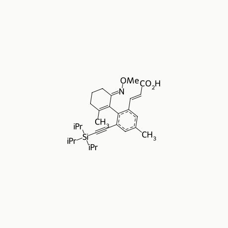 CON=C1CCCC(C)=C1c1c(C#C[Si](C(C)C)(C(C)C)C(C)C)cc(C)cc1C=CC(=O)O